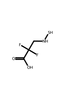 O=C(O)C(F)(F)CNS